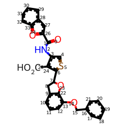 O=C(Nc1csc(C2Cc3cccc(OCc4ccccc4)c3O2)c1C(=O)O)c1cc2ccccc2o1